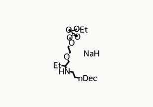 CCCCCCCCCCCCNC(CC)COCCOOS(=O)(=O)OCC.[NaH]